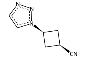 N#C[C@H]1C[C@@H](n2ccnn2)C1